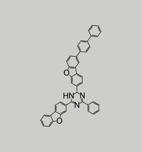 c1ccc(C2=NC(c3ccc4c(c3)oc3ccc(-c5ccc(-c6ccccc6)cc5)cc34)NC(c3ccc4c(c3)oc3ccccc34)=N2)cc1